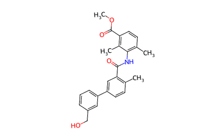 COC(=O)c1ccc(C)c(NC(=O)c2cc(-c3cccc(CO)c3)ccc2C)c1C